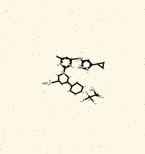 Cc1cc(Nc2cc(C3CC3)n[nH]2)nc(N2CC(C(=O)O)CC(C3CCCCC3)C2)n1.O=C(O)C(F)(F)F